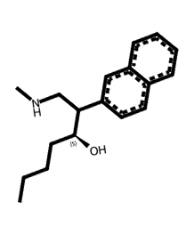 CCCC[C@H](O)C(CNC)c1ccc2ccccc2c1